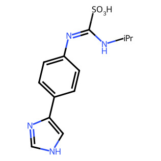 CC(C)N/C(=N\c1ccc(-c2c[nH]cn2)cc1)S(=O)(=O)O